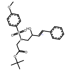 COc1ccc(S(=O)(=O)N(CC(=O)OC(C)(C)C)CC(O)/C=C/c2ccccc2)cc1